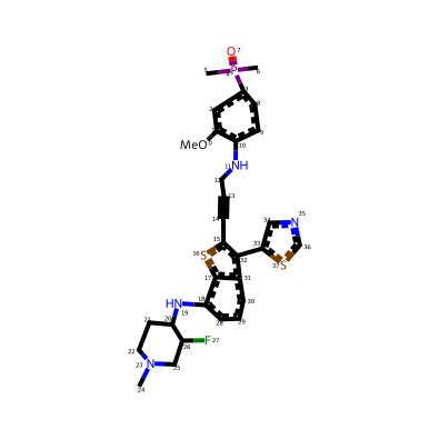 COc1cc(P(C)(C)=O)ccc1NCC#Cc1sc2c(NC3CCN(C)CC3F)cccc2c1-c1cncs1